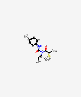 CCCCC(S)C(=O)N(C(=O)Nc1ccc(C#N)cc1)[C@@H](CC(C)C)C(=O)O